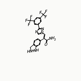 NC(=O)/C(=C/n1cnc(-c2cc(C(F)(F)F)cc(C(F)(F)F)c2)n1)c1ccc2c(c1)NNC2